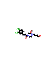 O=CCCCN1CCN(C(=O)/C=C/c2ccc(Cl)c(Cl)c2)CC1=O